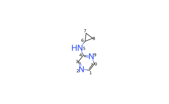 [c]1cncc(NC2CC2)n1